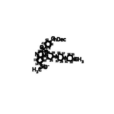 CCCCCCCCCCOc1ccc(S(=O)(=O)c2cnc3ccc([S+](C)[O-])cc3c2N2CCC(N3CCC(N4CCN(C)CC4)CC3)CC2)cc1